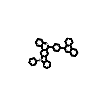 c1ccc(-n2c3ccccc3c3cc4c(-c5ccc(-c6cc7ccccc7c7ccccc67)cc5)nc5ccccc5c4cc32)cc1